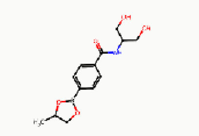 CC1COB(c2ccc(C(=O)NC(CO)CO)cc2)O1